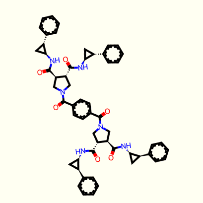 O=C(N[C@H]1C[C@@H]1c1ccccc1)[C@@H]1CN(C(=O)c2ccc(C(=O)N3C[C@@H](C(=O)N[C@H]4C[C@@H]4c4ccccc4)[C@H](C(=O)N[C@H]4C[C@@H]4c4ccccc4)C3)cc2)C[C@H]1C(=O)N[C@H]1C[C@@H]1c1ccccc1